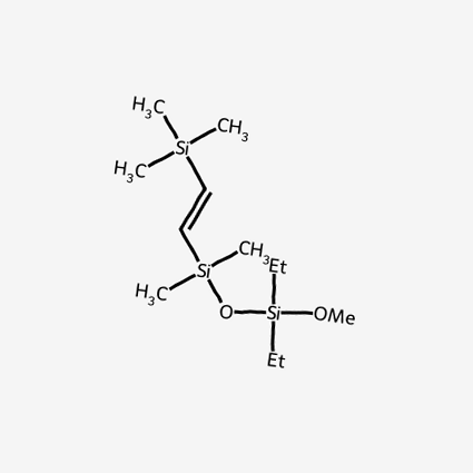 CC[Si](CC)(OC)O[Si](C)(C)C=C[Si](C)(C)C